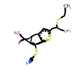 CCSC(C)c1cc2c(s1)C(SC#N)=C1C2C1(C)I